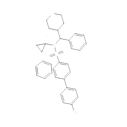 O=C(O)[C@@]1(N(C(c2ccccc2)C2CCOCC2)S(=O)(=O)c2ccc(-c3ccc(Cl)cc3)cc2)C[C@H]1c1ccccc1